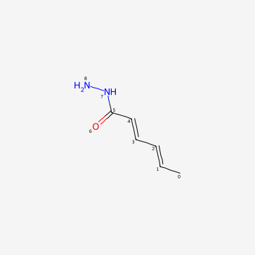 CC=CC=CC(=O)NN